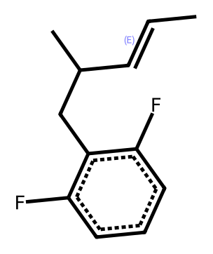 C/C=C/C(C)Cc1c(F)cccc1F